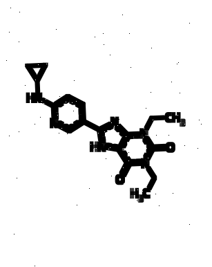 CCn1c(=O)c2[nH]c(-c3ccc(NC4CC4)nc3)nc2n(CC)c1=O